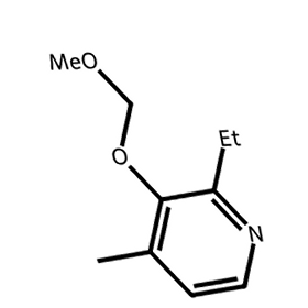 CCc1nccc(C)c1OCOC